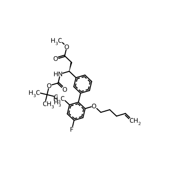 C=CCCCOc1cc(F)cc(C)c1-c1cccc([C@H](CC(=O)OC)NC(=O)OC(C)(C)C)c1